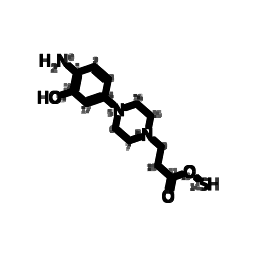 Nc1ccc(N2CCN(CCC(=O)OS)CC2)cc1O